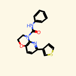 O=C(Nc1ccccc1)N1CCOc2ccc(-c3ccsc3)nc21